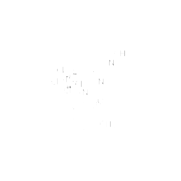 Cc1cccc2nc(N3CCN(C)CC3)oc12.ClP(Cl)(Cl)(Cl)Cl